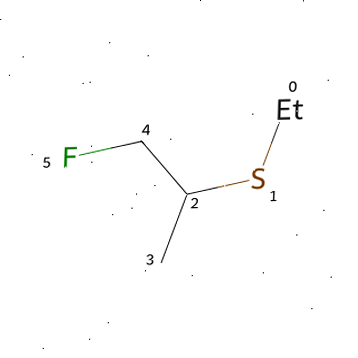 CCSC(C)CF